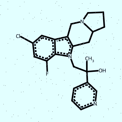 CC(O)(Cn1c2c(c3cc(Cl)cc(F)c31)CN1CCCC1C2)c1cccnc1